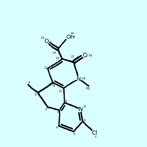 CC1Cc2ccc(Cl)nc2-c2c1cc(C(=O)O)c(=O)n2C